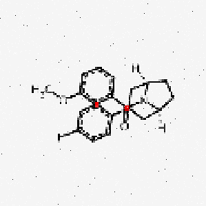 COc1cccc(C(=O)N2[C@@H]3CC[C@H]2C[C@@H](c2ccc(F)cc2)C3)c1